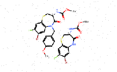 CC(C)(C)OC(=O)N[C@H]1CSc2cc(F)c(Br)cc2N(Cc2ccc(OC(F)(F)F)cc2)C1=O.CC(C)(C)OC(=O)N[C@H]1CSc2cc(F)c(Br)cc2NC1=O